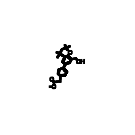 COC(=O)Cc1ccc(-c2cc(CO)c3c(c2)C(C)(C)CC(C)(C)O3)cc1